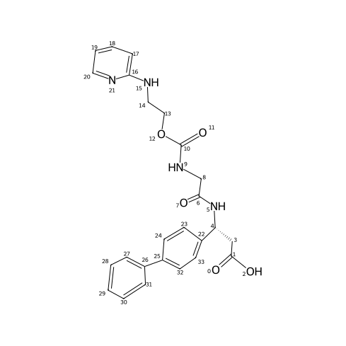 O=C(O)C[C@@H](NC(=O)CNC(=O)OCCNc1ccccn1)c1ccc(-c2ccccc2)cc1